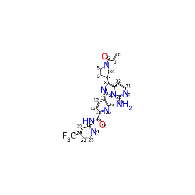 C=CC(=O)N1CCC(c2nc(-c3ccc(C(=O)Nc4cc(C(F)(F)F)ccn4)nc3)n3c(N)nccc23)C1